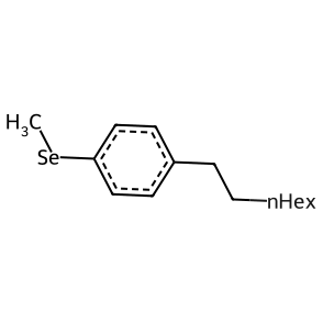 CCCCCCCCc1ccc([Se]C)cc1